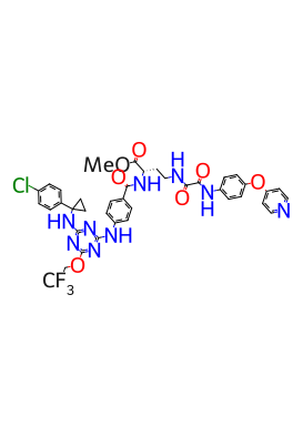 COC(=O)[C@H](CCNC(=O)C(=O)Nc1ccc(Oc2ccncc2)cc1)NC(=O)c1ccc(Nc2nc(NC3(c4ccc(Cl)cc4)CC3)nc(OCC(F)(F)F)n2)cc1